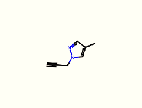 C#CCn1[c]c(C)cn1